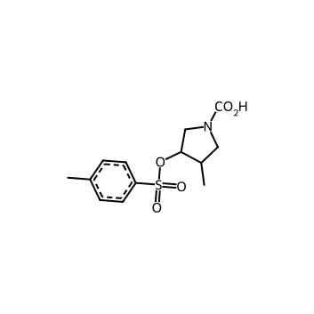 Cc1ccc(S(=O)(=O)OC2CN(C(=O)O)CC2C)cc1